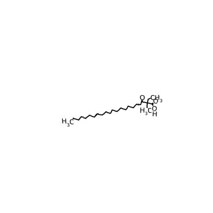 CCCCCCCCCCCCCCCCCCCC(=O)C(CC)(CC)C(=O)O